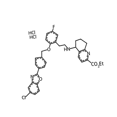 CCOC(=O)c1ccc2c(n1)CCCC2NCCc1cc(F)ccc1OCc1ccc(-c2nc3cc(Cl)ccc3o2)cc1.Cl.Cl